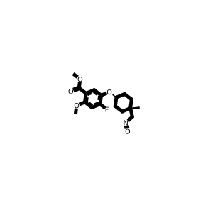 COC(=O)c1cc(O[C@H]2CC[C@@](C)(CN=O)CC2)c(F)cc1OC